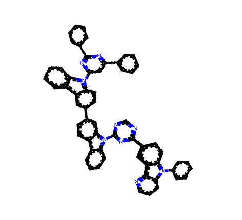 c1ccc(-c2cc(-n3c4ccccc4c4cc(-c5ccc6c7ccccc7n(-c7ncnc(-c8ccc9c(c8)c8ncccc8n9-c8ccccc8)n7)c6c5)ccc43)nc(-c3ccccc3)n2)cc1